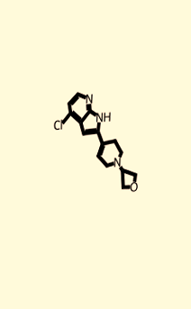 Clc1ccnc2[nH]c(C3=CCN(C4COC4)CC3)cc12